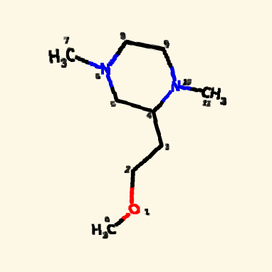 COCCC1CN(C)CCN1C